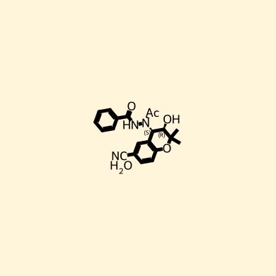 CC(=O)N(NC(=O)c1ccccc1)[C@H]1c2cc(C#N)ccc2OC(C)(C)[C@@H]1O.O